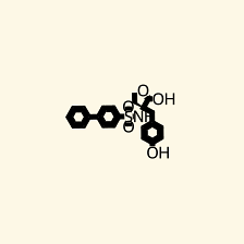 CC[C@@](Cc1ccc(O)cc1)(NS(=O)(=O)c1ccc(-c2ccccc2)cc1)C(=O)O